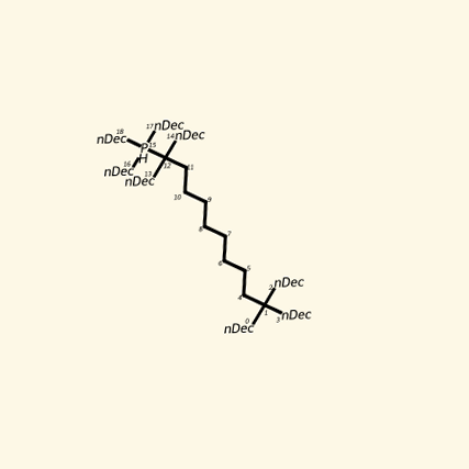 CCCCCCCCCCC(CCCCCCCCCC)(CCCCCCCCCC)CCCCCCCCC(CCCCCCCCCC)(CCCCCCCCCC)[PH](CCCCCCCCCC)(CCCCCCCCCC)CCCCCCCCCC